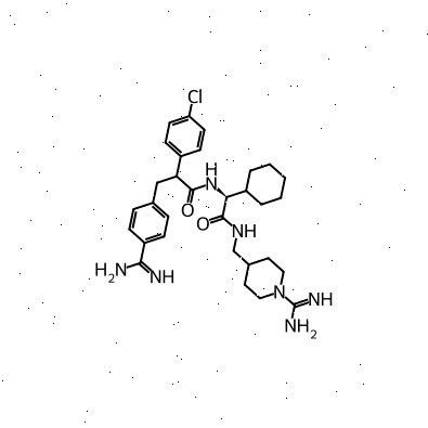 N=C(N)c1ccc(CC(C(=O)N[C@H](C(=O)NCC2CCN(C(=N)N)CC2)C2CCCCC2)c2ccc(Cl)cc2)cc1